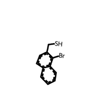 SCc1ccc2ccccc2c1Br